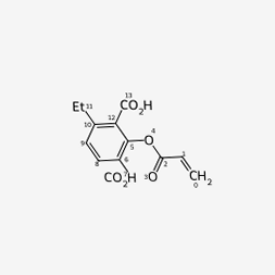 C=CC(=O)Oc1c(C(=O)O)ccc(CC)c1C(=O)O